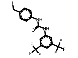 O=C(Nc1ccc(CI)cc1)Nc1cc(C(F)(F)F)cc(C(F)(F)F)c1